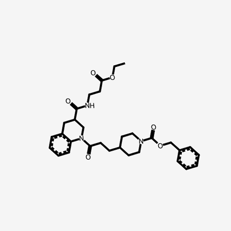 CCOC(=O)CCNC(=O)C1Cc2ccccc2N(C(=O)CCC2CCN(C(=O)OCc3ccccc3)CC2)C1